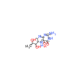 CC(O)C(O)C1CN=C2N=C(N)NC(=O)C2(O)N1